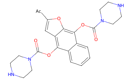 CC(=O)c1cc2c(OC(=O)N3CCNCC3)c3ccccc3c(OC(=O)N3CCNCC3)c2o1